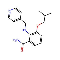 CC(C)COc1cccc(C(N)=O)c1NCc1ccncc1